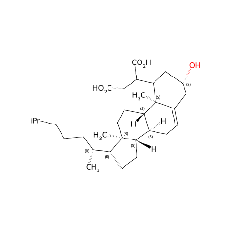 CC(C)CCC[C@@H](C)[C@H]1CC[C@H]2[C@@H]3CC=C4C[C@@H](O)CC(C(CC(=O)O)C(=O)O)[C@]4(C)[C@H]3CC[C@]12C